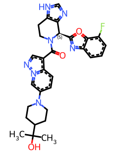 CC(C)(O)C1CCN(c2ccc3c(C(=O)N4CCc5[nH]cnc5[C@H]4c4nc5cccc(F)c5o4)cnn3c2)CC1